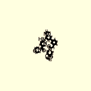 O=C(Cc1cccc(C2=CN3CCN=C3C(Nc3ccc(C(=O)N4CCOCC4)cn3)=C2)c1)N1CCC2(CC1)OCCO2